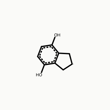 Oc1ccc(O)c2c1C[CH]C2